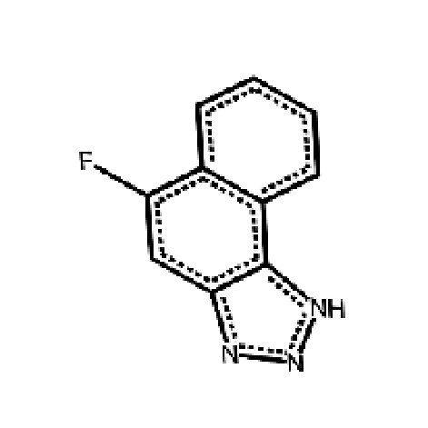 Fc1cc2nn[nH]c2c2ccccc12